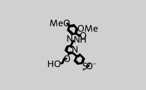 COc1cc(OC)c2c(=O)[nH]c(-c3ccc(OCCO)c(-c4ccc([S+](C)[O-])cc4)n3)nc2c1